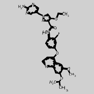 CCOc1cn(-c2cnc(N)nc2)nc1C(=O)Nc1ccc(Oc2ccnc3cc(OC(C)C)c(OC)cc23)cc1F